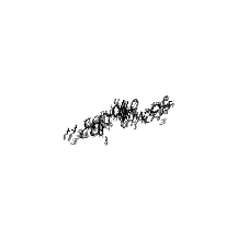 CCN(CCNC(=O)c1nc2ccc(C3=CCN(C(=O)OC(C)(C)C)CC3)cc2n1C)Cc1ccc(C(F)(F)F)cc1